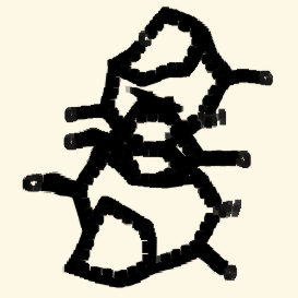 O=c1[nH]c2c3[nH]c(=O)c4ccc(cc4)c(=O)c(c2c(=O)c2ccc1cc2)c1c(=O)c2ccccc2c(=O)c31